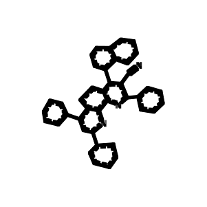 N#Cc1c(-c2ccccc2)nc2c(ccc3c(-c4ccccc4)cc(-c4ccccc4)nc32)c1-c1cccc2ccccc12